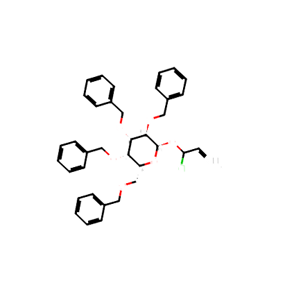 C=CC(Cl)O[C@H]1O[C@H](COCc2ccccc2)[C@H](OCc2ccccc2)[C@H](OCc2ccccc2)[C@H]1OCc1ccccc1